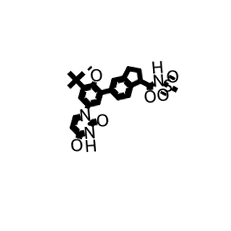 COc1c(-c2ccc3c(c2)CCC3C(=O)NS(C)(=O)=O)cc(-n2ccc(=O)[nH]c2=O)cc1C(C)(C)C